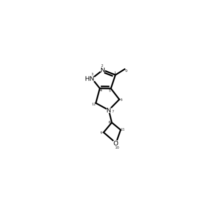 Cc1n[nH]c2c1CN(C1COC1)C2